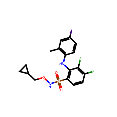 Cc1cc(I)ccc1Nc1c(S(=O)(=O)NOCC2CC2)ccc(F)c1F